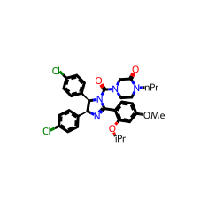 CCCN1CCN(C(=O)N2C(c3ccc(OC)cc3OC(C)C)=N[C@@H](c3ccc(Cl)cc3)[C@H]2c2ccc(Cl)cc2)CC1=O